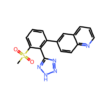 CS(=O)(=O)c1cccc(-c2ccc3ncccc3c2)c1-c1nn[nH]n1